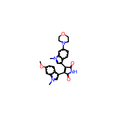 COc1ccc2c(C3=C(c4cn(C)c5cc(N6CCOCC6)ccc45)C(=O)NC3=O)cn(C)c2c1